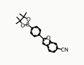 CC1(C)OB(c2ccc(-c3cc4ccc(C#N)cc4o3)cc2)OC1(C)C